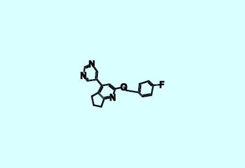 Fc1ccc(COc2cc(-c3cncnc3)c3c(n2)CCC3)cc1